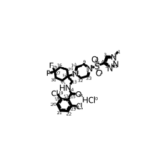 Cl.Cn1cc(S(=O)(=O)N2CCN(C3(CNC(=O)c4c(Cl)cccc4Cl)CCC(F)(F)CC3)CC2)nn1